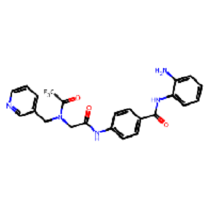 Nc1ccccc1NC(=O)c1ccc(NC(=O)CN(Cc2cccnc2)C(=O)C(F)(F)F)cc1